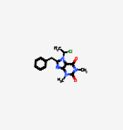 CC(Cl)n1c(Cc2ccccc2)nc2c1c(=O)n(C)c(=O)n2C